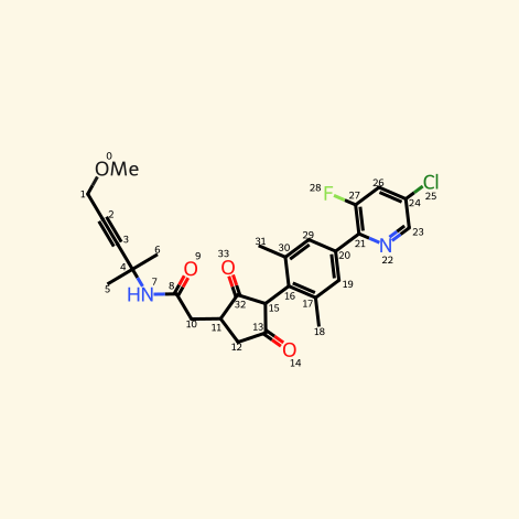 COCC#CC(C)(C)NC(=O)CC1CC(=O)C(c2c(C)cc(-c3ncc(Cl)cc3F)cc2C)C1=O